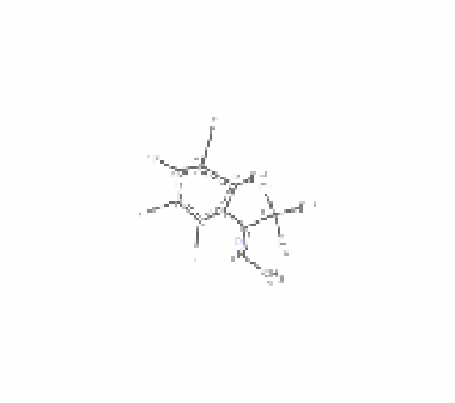 C/N=C(/c1c(F)c(F)c(F)c(F)c1F)C(F)(F)F